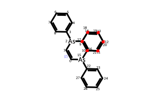 C(=C/[As](c1ccccc1)c1ccccc1)/[As](c1ccccc1)c1ccccc1